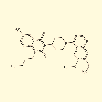 CCCCn1c(=O)n(C2CCN(c3ncnc4cc(OC)c(OC)cc34)CC2)c(=O)c2cc(C)ccc21